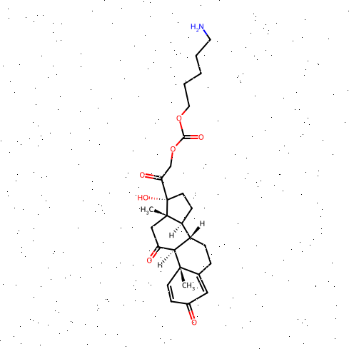 C[C@]12C=CC(=O)C=C1CC[C@@H]1[C@@H]2C(=O)C[C@@]2(C)[C@H]1CC[C@]2(O)C(=O)COC(=O)OCCCCCN